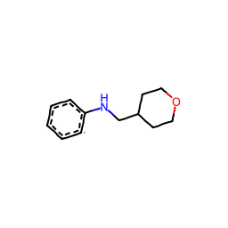 [c]1ccccc1NCC1CCOCC1